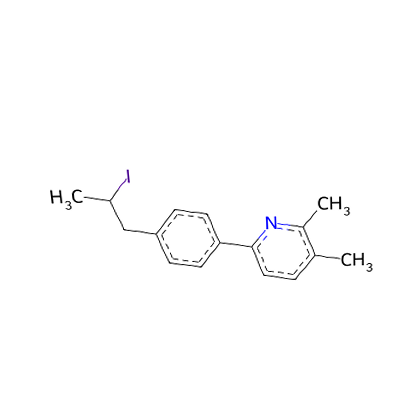 Cc1ccc(-c2ccc(CC(C)I)cc2)nc1C